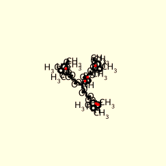 CO[C@@]1(C)CC[C@H]2[C@H](C)CC[C@H]3[C@@H](C)[C@H](OC(=O)CCC(=O)OCC(COC(=O)CCC(=O)O[C@@H]4OC[C@@H]5O[C@@]6(C)CC[C@H]7[C@H](C)CC[C@@H]([C@H]4C)[C@@]57OO6)(COC(=O)CCC(=O)O[C@@H]4OCC[C@@]56OO[C@@](C)(OC)CC[C@H]5[C@H](C)CC[C@@]6(C)[C@H]4C)Nc4cccc(F)c4)OC[C@]32OO1